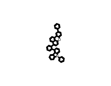 c1ccc(-c2ccc3c(c2)-c2cccc4c(-c5ccccc5-c5cccc6c5c5ccccc5n6-c5ccccc5)ccc(c24)O3)cc1